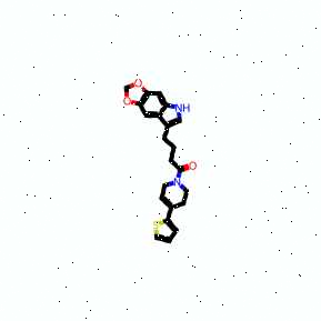 O=C(CCCc1c[nH]c2cc3c(cc12)OCO3)N1CC=C(c2cccs2)CC1